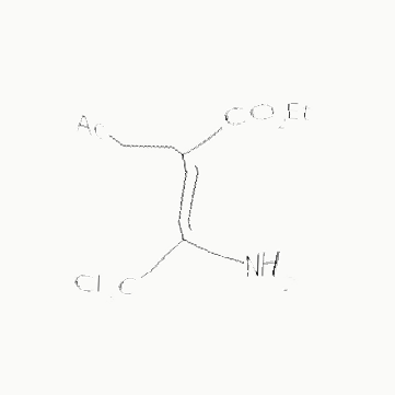 CCOC(=O)C(C(C)=O)=C(N)C(Cl)(Cl)Cl